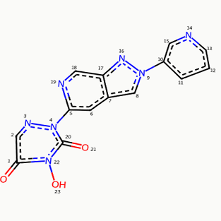 O=c1cnn(-c2cc3cn(-c4cccnc4)nc3cn2)c(=O)n1O